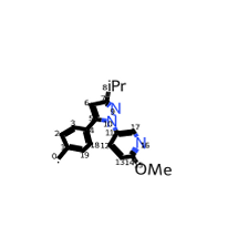 [CH2]c1ccc(-c2cc(C(C)C)nn2-c2ccc(OC)nc2)cc1